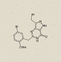 COc1ccc(Br)cc1Cc1nc2c(CC(C)C)n[nH]c2c(=O)[nH]1